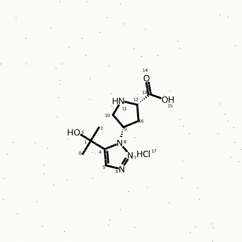 CC(C)(O)c1cnnn1[C@@H]1CN[C@H](C(=O)O)C1.Cl